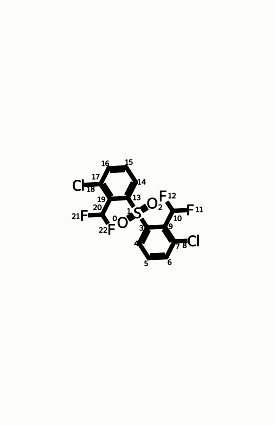 O=S(=O)(c1cccc(Cl)c1C(F)F)c1cccc(Cl)c1C(F)F